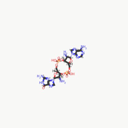 Nc1nc2c(ncn2[C@@H]2O[C@@H]3COP(=O)(O)O[C@@H]4C(N)[C@H](n5cnc6c(N)ncnc65)O[C@@H]4COP(=O)(O)O[C@@H]3C2N)c(=O)[nH]1